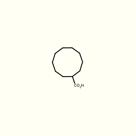 O=C(O)C1CCCCCCCCC1